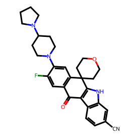 N#Cc1ccc2c3c([nH]c2c1)C1(CCOCC1)c1cc(N2CCC(N4CCCC4)CC2)c(F)cc1C3=O